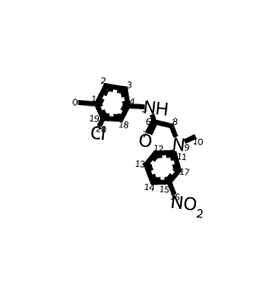 Cc1ccc(NC(=O)CN(C)c2cccc([N+](=O)[O-])c2)cc1Cl